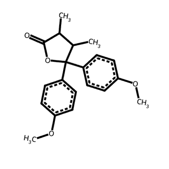 COc1ccc(C2(c3ccc(OC)cc3)OC(=O)C(C)C2C)cc1